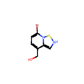 OCC1=CC=C(Br)N2SNC=C12